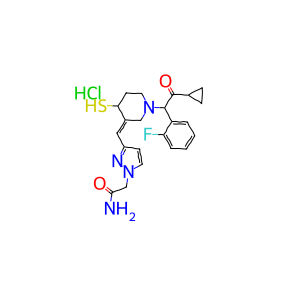 Cl.NC(=O)Cn1ccc(/C=C2\CN(C(C(=O)C3CC3)c3ccccc3F)CCC2S)n1